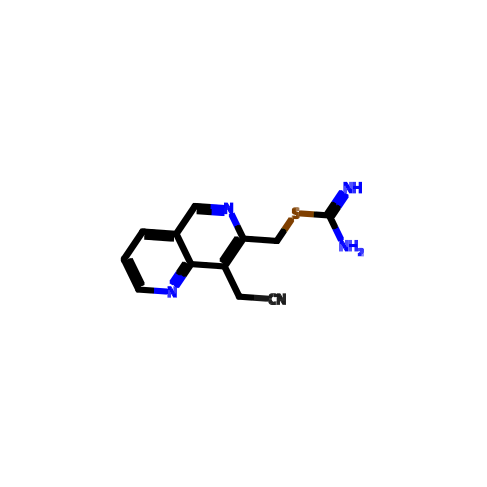 N#CCc1c(CSC(=N)N)ncc2cccnc12